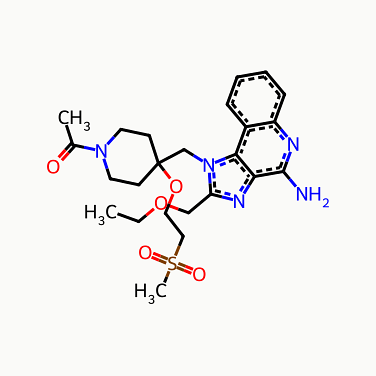 CCOCc1nc2c(N)nc3ccccc3c2n1CC1(OCCS(C)(=O)=O)CCN(C(C)=O)CC1